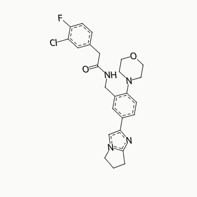 O=C(Cc1ccc(F)c(Cl)c1)NCc1cc(-c2cn3c(n2)CCC3)ccc1N1CCOCC1